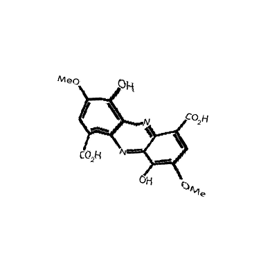 COc1cc(C(=O)O)c2nc3c(O)c(OC)cc(C(=O)O)c3nc2c1O